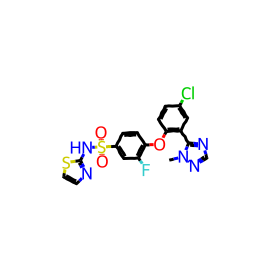 Cn1ncnc1-c1cc(Cl)ccc1Oc1ccc(S(=O)(=O)Nc2nccs2)cc1F